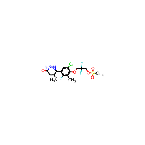 Cc1c(F)c(C2=NNC(=O)CC2C)cc(Cl)c1OCC(F)(F)COS(C)(=O)=O